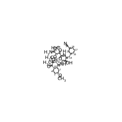 COc1ccc2c(c1)[C@H](NC[C@H](O)[C@H](Cc1cccc(C#N)c1)NC(=O)C(OC)C(OC)C(N)=O)CC(C)(C)C2=O